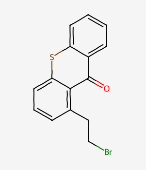 O=c1c2ccccc2sc2cccc(CCBr)c12